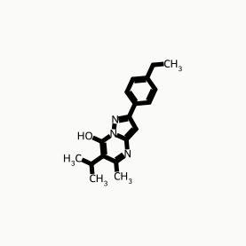 CCc1ccc(-c2cc3nc(C)c(C(C)C)c(O)n3n2)cc1